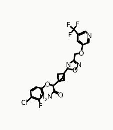 NC(=O)C(Oc1ccc(Cl)c(F)c1)C12CC(c3nc(COc4cncc(C(F)(F)F)c4)no3)(C1)C2